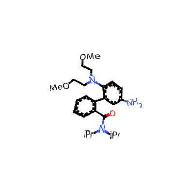 COCCN(CCOC)c1ccc(N)cc1-c1ccccc1C(=O)N(C(C)C)C(C)C